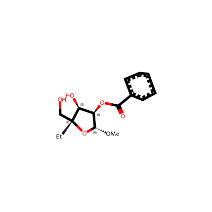 CC[C@]1(CO)O[C@@H](OC)[C@H](OC(=O)c2ccccc2)[C@@H]1O